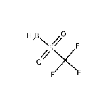 BS(=O)(=O)C(F)(F)F